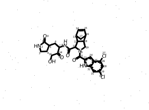 O=C1NCCC1CC(NC(=O)C1C2C3C=CC(C3)C2CN1C(=O)c1cc2c(Cl)cc(Cl)cc2[nH]1)C(=O)CO